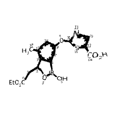 CCOC(=O)CC1OB(O)c2cc(Oc3ncc(C(=O)O)s3)cc(C)c21